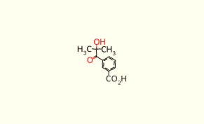 CC(C)(O)C(=O)c1cccc(C(=O)O)c1